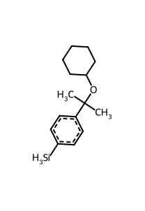 CC(C)(OC1CCCCC1)c1ccc([SiH3])cc1